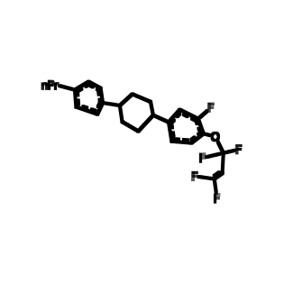 CCCc1ccc(C2CCC(c3ccc(OC(F)(F)C=C(F)F)c(F)c3)CC2)cc1